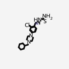 NC(=S)N/N=C/c1ccc(N2CCN(CC3CCCCC3)CC2)cc1Cl